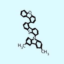 Cc1ccc2c(c1)c1cc(C)ccc1n2-c1cccc2c1sc1cccc(-c3cccc4oc5ccccc5c34)c12